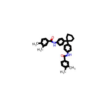 Cc1ccc(C(=O)Nc2ccc(C3(c4ccc(NC(=O)c5ccc(C)c(C)c5)cc4)CCCCC3)cc2)cc1C